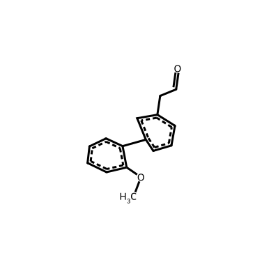 COc1ccccc1-c1cccc(CC=O)c1